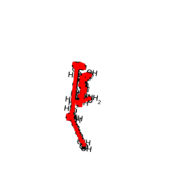 CC(C)[C@H](NC(=O)[C@@H](CCCCNC(=O)COC1CCCCC/C(NCCOCCOCCOCCOCCC(=O)NCCS(=O)(=O)O)=C\1N=N)NC(=O)CCOCCOCCOCCOCCNC(=O)CCC(=O)N1Cc2ccccc2C#Cc2ccccc21)C(=O)N[C@@H](CCCNC(N)=O)C(=O)N[C@@H](CO)C(=O)Nc1ccc2c(c1)[C@@]1(C)CCC[C@](C)(C(=O)NC(=O)[C@@]3(C)CCC[C@]4(C)c5cc(O)ccc5CC[C@@H]34)[C@@H]1CC2